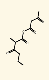 CCCC(=O)C(C)C(=O)OC(=O)CC(C)=O